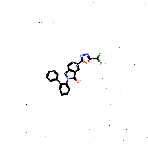 O=C1c2cc(-c3nnc(C(F)F)o3)ccc2CN1c1ccccc1-c1ccccc1